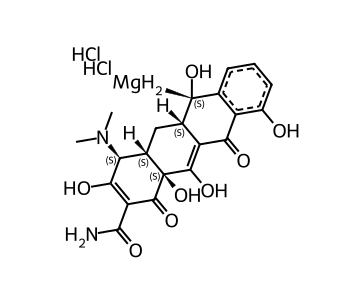 CN(C)[C@@H]1C(O)=C(C(N)=O)C(=O)[C@@]2(O)C(O)=C3C(=O)c4c(O)cccc4[C@@](C)(O)[C@H]3C[C@@H]12.Cl.Cl.[MgH2]